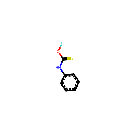 FOC(=S)Nc1ccccc1